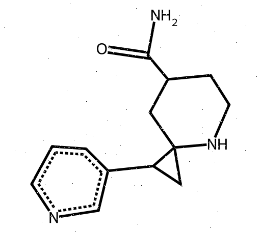 NC(=O)C1CCNC2(C1)CC2c1cccnc1